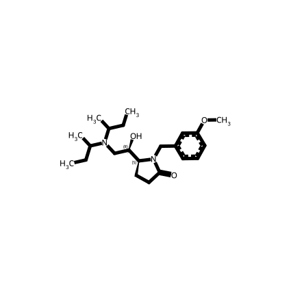 CCC(C)N(C[C@@H](O)[C@@H]1CCC(=O)N1Cc1cccc(OC)c1)C(C)CC